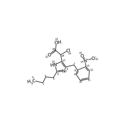 CCCCc1nc(Cc2ccccc2[N+](=O)[O-])c(C(Cl)C(=O)O)[nH]1